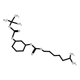 CC(C)CCCCCOC(=O)OC1CCCC(OC(=O)OC(C)(C)C)C1